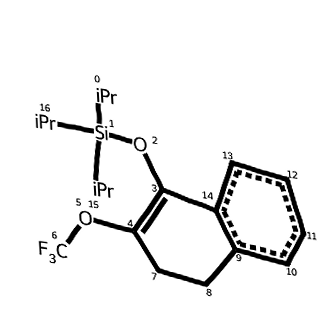 CC(C)[Si](OC1=C(OC(F)(F)F)CCc2ccccc21)(C(C)C)C(C)C